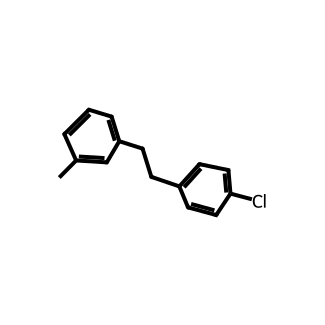 Cc1cccc(CCc2ccc(Cl)cc2)c1